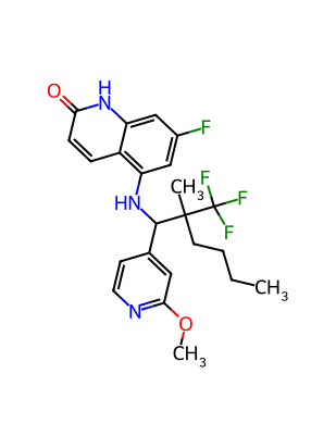 CCCCC(C)(C(Nc1cc(F)cc2[nH]c(=O)ccc12)c1ccnc(OC)c1)C(F)(F)F